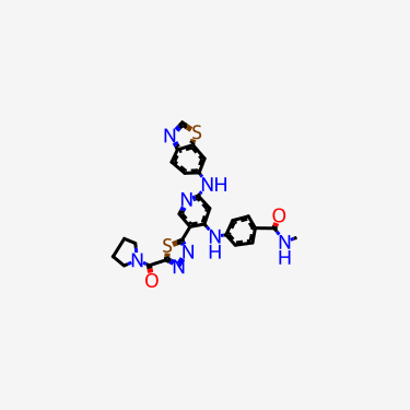 CNC(=O)c1ccc(Nc2cc(Nc3ccc4ncsc4c3)ncc2-c2nnc(C(=O)N3CCCC3)s2)cc1